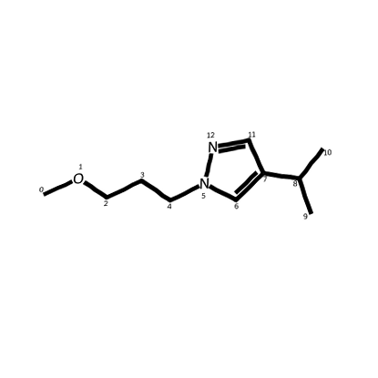 COCCCn1cc(C(C)C)cn1